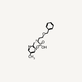 Cc1cnc(C[C@H](CCOCc2ccccc2)S(=O)(=O)O)nc1